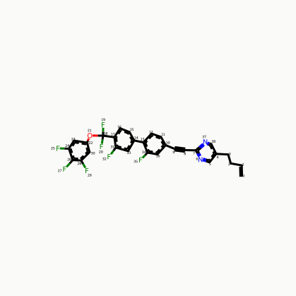 C=CCCc1cnc(C#Cc2ccc(-c3ccc(C(F)(F)Oc4cc(F)c(F)c(F)c4)c(F)c3)c(F)c2)nc1